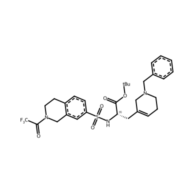 CC(C)(C)OC(=O)[C@H](CC1=CCCN(Cc2ccccc2)C1)NS(=O)(=O)c1ccc2c(c1)CN(C(=O)C(F)(F)F)CC2